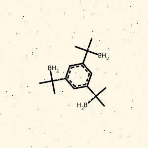 BC(C)(C)c1cc(C(B)(C)C)cc(C(B)(C)C)c1